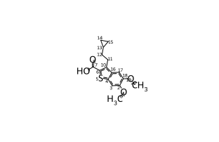 COc1cc2sc(C(=O)O)c(CCC3CC3)c2cc1OC